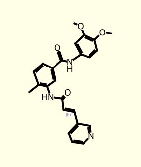 COc1ccc(NC(=O)c2ccc(C)c(NC(=O)/C=C/c3cccnc3)c2)cc1OC